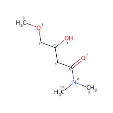 COCC(O)CC(=O)N(C)C